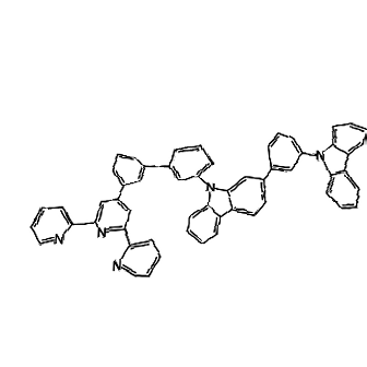 c1ccc(-c2cc(-c3cccc(-c4cccc(-n5c6ccccc6c6ccc(-c7cccc(-n8c9ccccc9c9ccccc98)c7)cc65)c4)c3)cc(-c3ccccn3)n2)nc1